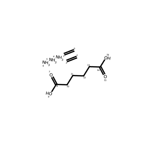 C=C.C=C.N.N.N.O=C(O)CCCCC(=O)O